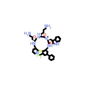 CN1C(=O)[C@H](CCCCN)NC(=O)[C@H](CCCN)NCc2cccnc2Sc2c(cc(-c3ccccc3)cc2C(F)(F)F)CNC(=O)[C@@H]1Cc1c[nH]c2ccccc12